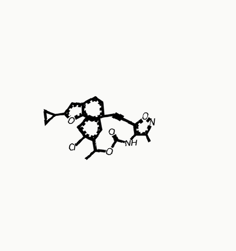 Cc1noc(C#Cc2ccc3cc(C4CC4)oc3c2)c1NC(=O)OC(C)c1ccccc1Cl